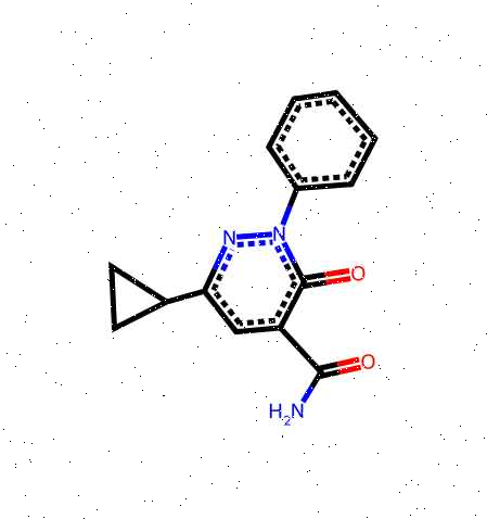 NC(=O)c1cc(C2CC2)nn(-c2ccccc2)c1=O